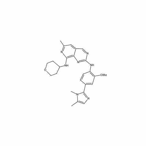 COc1cc(-c2ncc(C)n2C)ccc1Nc1ncc2cc(C)nc(NC3CCOCC3)c2n1